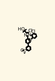 C[S+]([O-])c1cccc(-c2ccc(-c3nc(C(C)(C)O)c(Cl)n3-c3c(Cl)cccc3Cl)cc2)c1